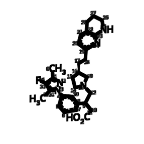 Cc1nn(-c2cccc(C(CC(=O)O)CN3CC[C@@H](CCc4ccc5c(n4)NCCC5)C3)c2)c(C)c1F